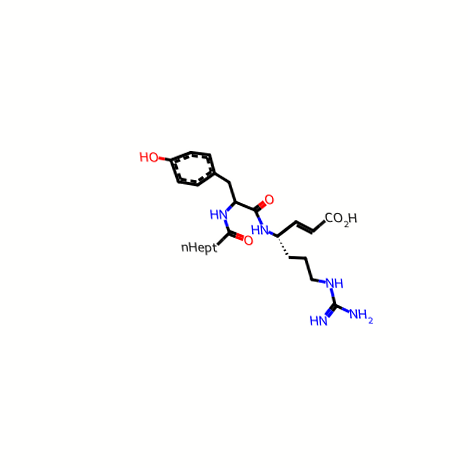 CCCCCCCC(=O)NC(Cc1ccc(O)cc1)C(=O)N[C@H](/C=C/C(=O)O)CCCNC(=N)N